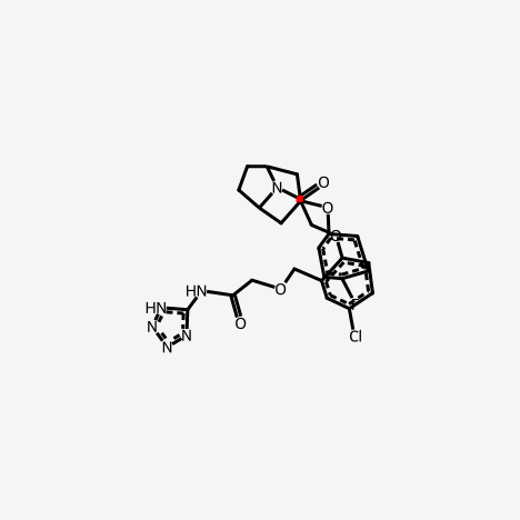 O=C(COCc1cc(Cl)ccc1OCC(=O)N1C2CCC1CC(Oc1ccc(F)cc1)C2)Nc1nnn[nH]1